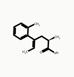 C/C=C(/C[C@@H](C)C(=O)CCC)c1ccccc1C